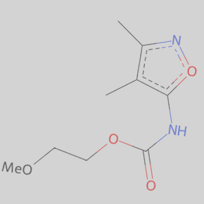 COCCOC(=O)Nc1onc(C)c1C